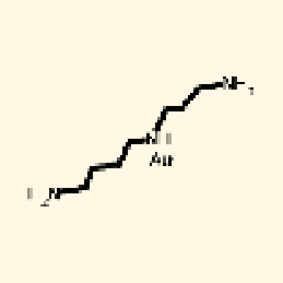 NCCCCNCCCN.[Au]